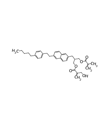 C=C(C)C(=O)OCC(COC(=O)C(=C)CO)Cc1ccc2cc(CCc3ccc(CCCCC)cc3)ccc2c1